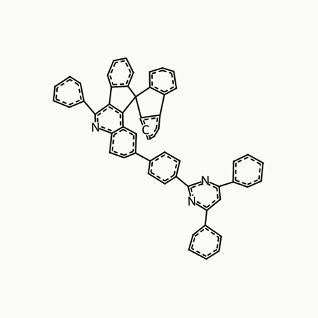 c1ccc(-c2cc(-c3ccccc3)nc(-c3ccc(-c4ccc5nc(-c6ccccc6)c6c(c5c4)C4(c5ccccc5-c5ccccc54)c4ccccc4-6)cc3)n2)cc1